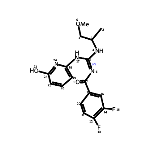 COCC(C)N/C(=N/C(=O)c1ccc(F)c(F)c1)Nc1cccc(O)n1